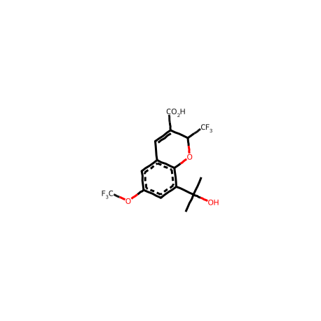 CC(C)(O)c1cc(OC(F)(F)F)cc2c1OC(C(F)(F)F)C(C(=O)O)=C2